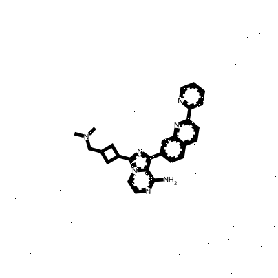 CN(C)CC1CC(c2nc(-c3ccc4ccc(-c5ccccn5)nc4c3)c3c(N)nccn23)C1